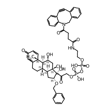 C[C@]12C=CC(=O)C=C1CC[C@@H]1[C@@H]2[C@@H](O)C[C@@]2(C)[C@H]1C[C@@H](OCc1ccccc1)[C@]2(O)C(=O)COP(=O)(O)OP(=O)(O)OCCNC(=O)CCC(=O)N1Cc2ccccc2C#Cc2ccccc21